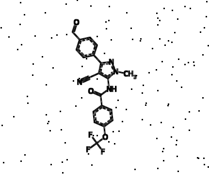 Cn1nc(-c2ccc(C=O)cc2)c(C#N)c1NC(=O)c1ccc(OC(F)(F)F)cc1